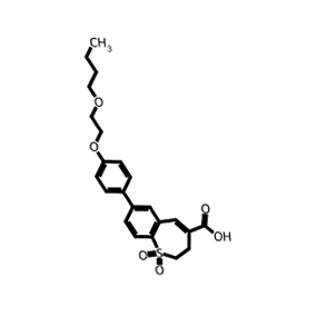 CCCCOCCOc1ccc(-c2ccc3c(c2)C=C(C(=O)O)CCS3(=O)=O)cc1